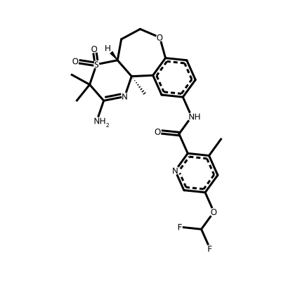 Cc1cc(OC(F)F)cnc1C(=O)Nc1ccc2c(c1)[C@@]1(C)N=C(N)C(C)(C)S(=O)(=O)[C@@H]1CCO2